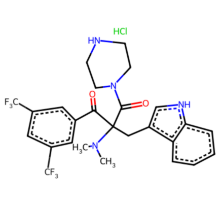 CN(C)C(Cc1c[nH]c2ccccc12)(C(=O)c1cc(C(F)(F)F)cc(C(F)(F)F)c1)C(=O)N1CCNCC1.Cl